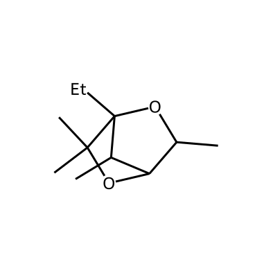 CCC12OC(C)C(OC1(C)C)C2C